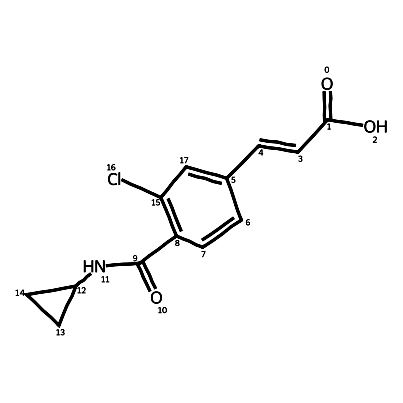 O=C(O)C=Cc1ccc(C(=O)NC2CC2)c(Cl)c1